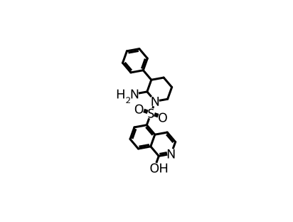 NC1C(c2ccccc2)CCCN1S(=O)(=O)c1cccc2c(O)nccc12